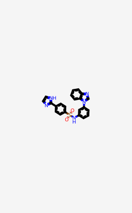 O=S(=O)(Nc1cccc(-n2cnc3ccccc32)c1)c1ccc(-c2ncc[nH]2)cc1